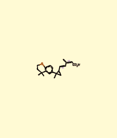 CC(=C/C(=O)O)/C=C/C1CC1(C)c1ccc2c(c1)C(C)(C)CCS2